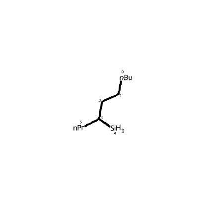 CCCCCCC([SiH3])CCC